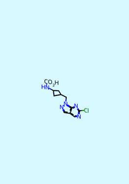 O=C(O)NC1CC(Cn2ncc3cnc(Cl)nc32)C1